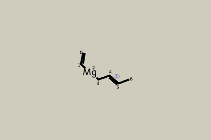 C=[CH][Mg][CH2]/C=C/C